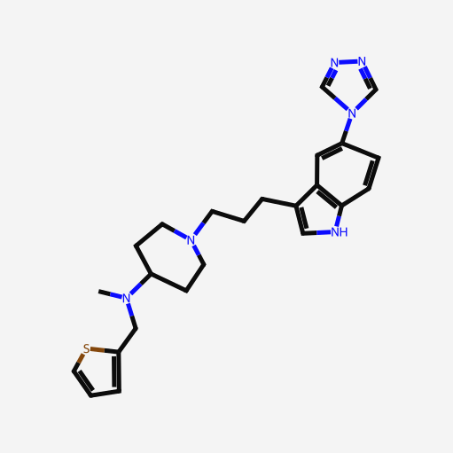 CN(Cc1cccs1)C1CCN(CCCc2c[nH]c3ccc(-n4cnnc4)cc23)CC1